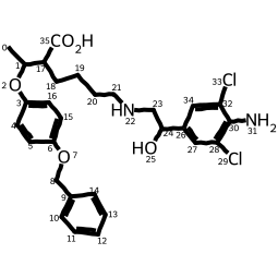 CC(Oc1ccc(OCc2ccccc2)cc1)C(CCCCNCC(O)c1cc(Cl)c(N)c(Cl)c1)C(=O)O